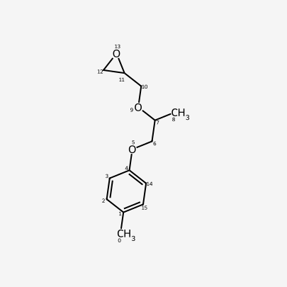 Cc1ccc(OCC(C)OCC2CO2)cc1